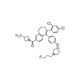 CC1CN(C(=O)c2ccc3c(c2)CCCC(c2ccc(Cl)cc2Cl)=C3c2ccc(O[C@H]3CCN(CCCF)C3)cc2)C1